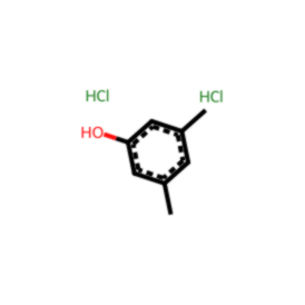 Cc1cc(C)cc(O)c1.Cl.Cl